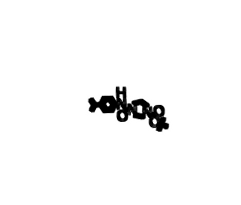 CC(C)c1ccc(NC(=O)N2CCCN(C(=O)OC(C)(C)C)CC2)cc1